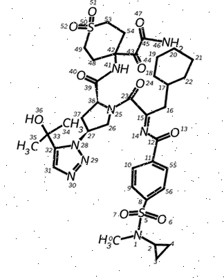 CN(C1CC1)S(=O)(=O)c1ccc(C(=O)/N=C(\CC2CCCCC2)C(=O)N2C[C@@H](n3nncc3C(C)(C)O)C[C@H]2C(=O)NC2(C(=O)C(N)=O)CCS(=O)(=O)CC2)cc1